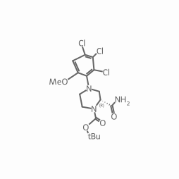 COc1cc(Cl)c(Cl)c(Cl)c1N1CCN(C(=O)OC(C)(C)C)[C@@H](C(N)=O)C1